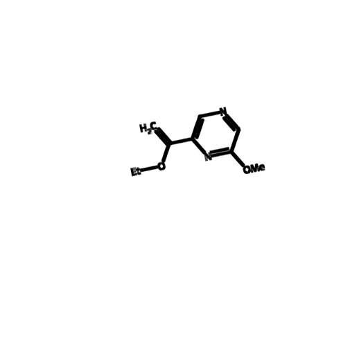 C=C(OCC)c1cncc(OC)n1